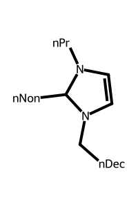 CCCCCCCCCCCN1C=CN(CCC)C1CCCCCCCCC